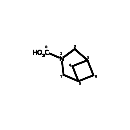 O=C(O)N1CC2CC(C2)C1